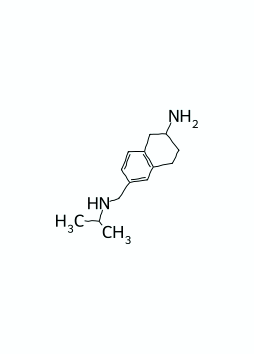 CC(C)NCc1ccc2c(c1)CCC(N)C2